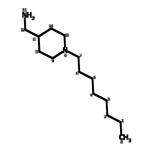 CCCCCCCCN1CCC(CN)CC1